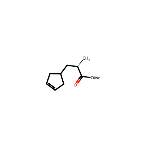 COC(=O)[C@@H](C)CC1CC=CC1